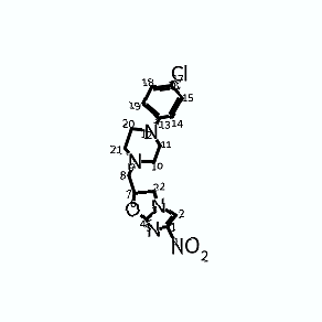 O=[N+]([O-])c1cn2c(n1)OC(CN1CCN(c3ccc(Cl)cc3)CC1)C2